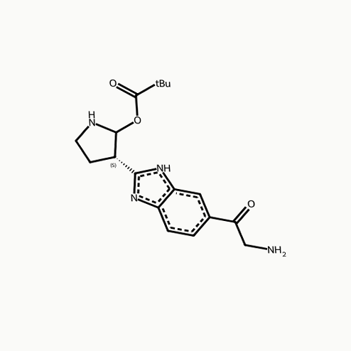 CC(C)(C)C(=O)OC1NCC[C@H]1c1nc2ccc(C(=O)CN)cc2[nH]1